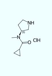 CN(C(=O)C1CC1)[C@H]1CCNC1.Cl